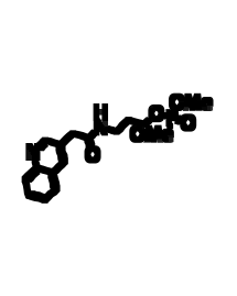 COP(=O)(OC)OCCCNC(=O)Cc1cnc2ccccc2c1